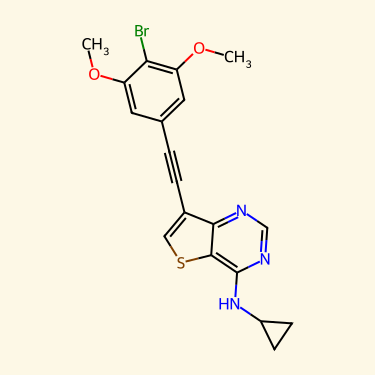 COc1cc(C#Cc2csc3c(NC4CC4)ncnc23)cc(OC)c1Br